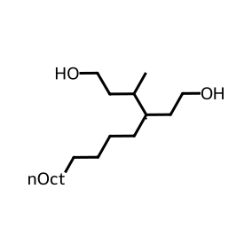 CCCCCCCCCCCC[C](CCO)C(C)CCO